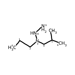 CCCN(CC(C)C)NN